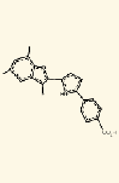 Cc1cc(C)c2oc(-c3ccc(-c4ccc(C(=O)O)cc4)[nH]3)c(F)c2c1